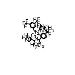 CCC(c1ccc(C(F)(F)F)cc1CN(Cc1cc(C(F)(F)F)cc(C(F)(F)F)c1)c1nnn(C)n1)N(CC)C(C)c1cn[nH]c1